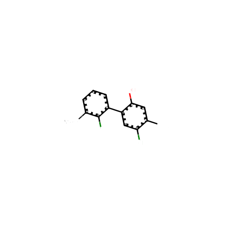 COc1cccc(-c2cc(Cl)c(C)cc2O)c1F